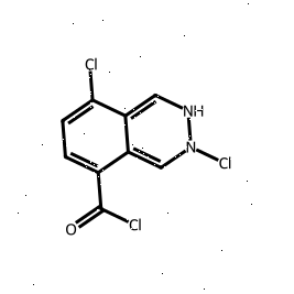 O=C(Cl)c1ccc(Cl)c2c1=CN(Cl)NC=2